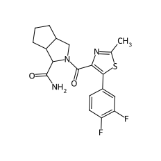 Cc1nc(C(=O)N2CC3CCCC3C2C(N)=O)c(-c2ccc(F)c(F)c2)s1